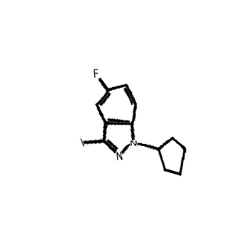 Fc1ccc2c(c1)c(I)nn2C1CCCC1